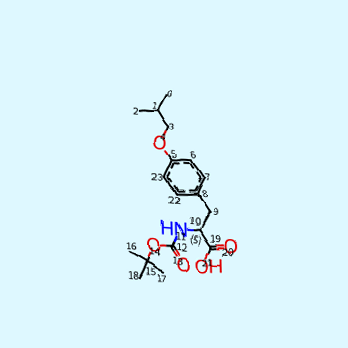 CC(C)COc1ccc(C[C@H](NC(=O)OC(C)(C)C)C(=O)O)cc1